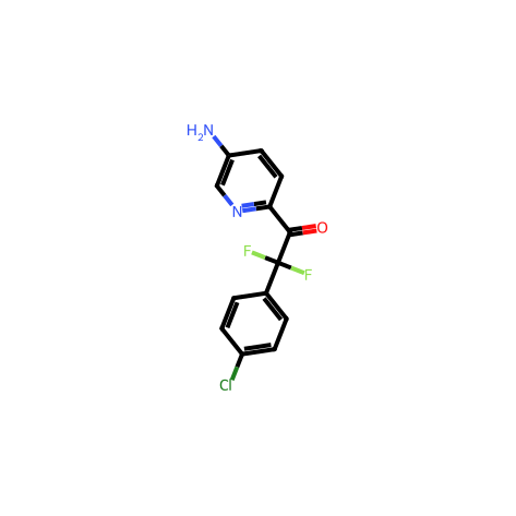 Nc1ccc(C(=O)C(F)(F)c2ccc(Cl)cc2)nc1